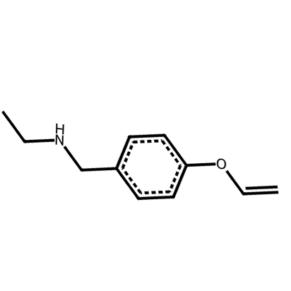 C=COc1ccc(CNCC)cc1